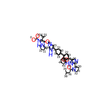 COC(=O)N[C@H](C(=O)N1CCC[C@H]1c1ncc(-c2ccc(-c3ccc(-c4cnc([C@H]5CCCN5C(=O)CC(C)C)[nH]4)c4c3C3CCC4C(=O)O3)cc2)[nH]1)C(C)C